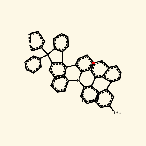 CC(C)(C)c1cc(-c2cccc3cccc(-c4ccccc4N(c4ccccc4)c4ccccc4-c4cccc5c4-c4ccccc4C5(c4ccccc4)c4ccccc4)c23)cc(C(C)(C)C)c1